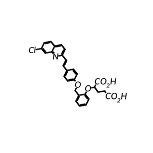 O=C(O)CCC(Oc1ccccc1COc1ccc(C=Cc2ccc3ccc(Cl)cc3n2)cc1)C(=O)O